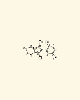 O=c1c(-c2cc(F)ccc2F)c(Cl)n2n1CCCC2